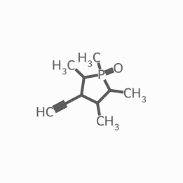 C#CC1C(C)C(C)P(C)(=O)C1C